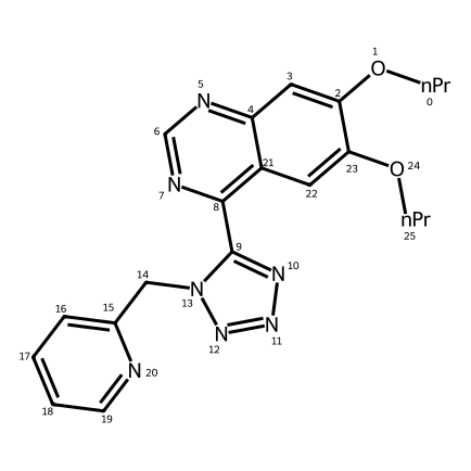 CCCOc1cc2ncnc(-c3nnnn3Cc3ccccn3)c2cc1OCCC